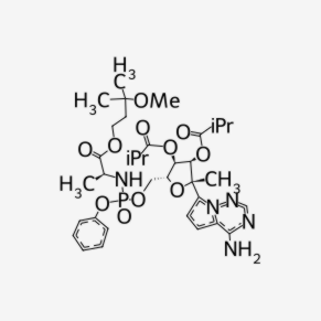 COC(C)(C)CCOC(=O)[C@H](C)NP(=O)(OC[C@H]1O[C@@](C)(c2ccc3c(N)ncnn23)[C@H](OC(=O)C(C)C)[C@@H]1OC(=O)C(C)C)Oc1ccccc1